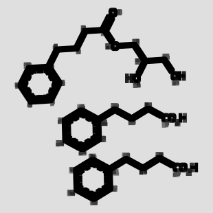 O=C(CCCc1ccccc1)OCC(O)CO.O=C(O)CCCc1ccccc1.O=C(O)CCCc1ccccc1